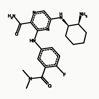 CN(C)C(=O)c1cc(Nc2nc(N[C@@H]3CCCC[C@@H]3N)cnc2C(N)=O)ccc1F